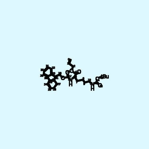 C=CCOC(=O)C(CCCCNC(=O)OC(C)(C)C)NC(=O)OCC1C2=C(C=CCC2)c2ccccc21